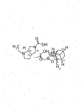 CCN1CC[C@@]2(CCCB3O[C@@H]4C[C@@H]5C[C@@H](C5(C)C)[C@]4(C)O3)[C@@H]1CN(C(=O)O)[C@@H]2C(=O)O